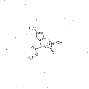 COC(=O)C1c2sc(C)cc2C2CN1C(=O)N2O